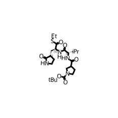 CCSC(=O)[C@H](C[C@@H]1CCNC1=O)NC(=O)[C@@H](NC(=O)C1CCN(C(=O)OC(C)(C)C)C1)C(C)C